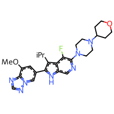 COc1cc(-c2[nH]c3cnc(N4CCN(C5CCOCC5)CC4)c(F)c3c2C(C)C)cn2ncnc12